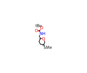 CS[C@H]1CC[C@@H](CNC(=O)OC(C)(C)C)OC1